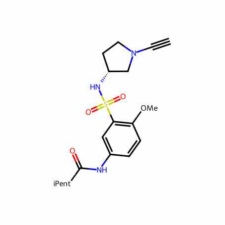 C#CN1CC[C@@H](NS(=O)(=O)c2cc(NC(=O)C(C)CCC)ccc2OC)C1